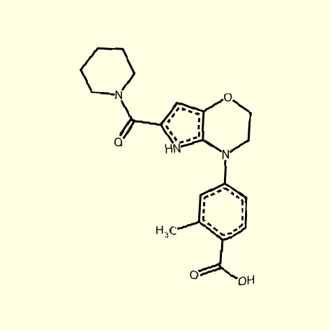 Cc1cc(N2CCOc3cc(C(=O)N4CCCCC4)[nH]c32)ccc1C(=O)O